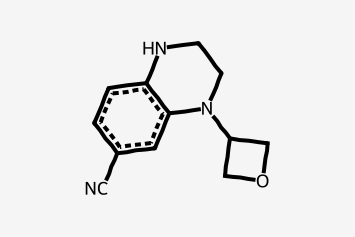 N#Cc1ccc2c(c1)N(C1COC1)CCN2